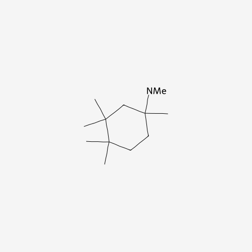 CNC1(C)CCC(C)(C)C(C)(C)C1